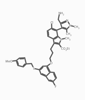 CCOC(=O)c1c(CCCOc2cc(SCc3ccc(OC)cc3)cc3cc(F)ccc23)c2ccc(Cl)c(-c3c(CN)nn(C)c3C)c2n1C